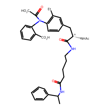 CCc1cc(C[C@H](NC(C)=O)C(=O)NCCCCC(=O)NC(C)c2ccccc2)ccc1N(C(=O)C(=O)O)c1ccccc1C(=O)O